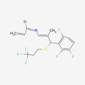 C=C/C(Br)=N\C=C(/C)C(SCCC(F)(F)F)c1c(F)ccc(F)c1F